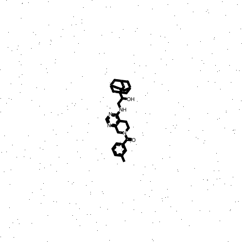 Cc1cccc(C(=O)N2CCc3c(ncnc3NCC(O)C34CC5CC(CC(C5)C3)C4)C2)c1